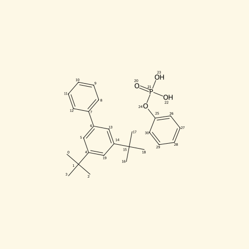 CC(C)(C)c1cc(-c2ccccc2)cc(C(C)(C)C)c1.O=P(O)(O)Oc1ccccc1